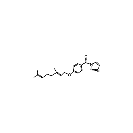 CC(C)=CCC/C(C)=C/COc1ccc(C(=O)n2ccnc2)cc1